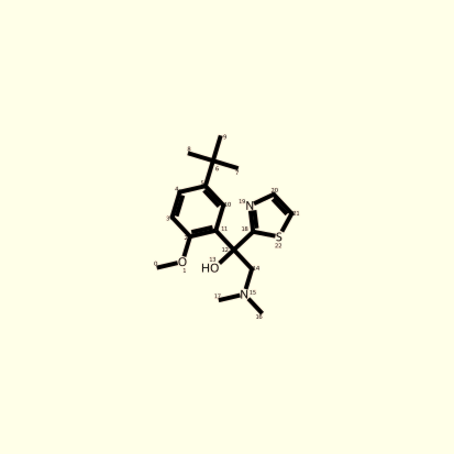 COc1ccc(C(C)(C)C)cc1C(O)(CN(C)C)c1nccs1